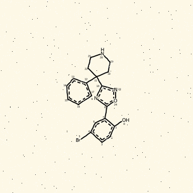 Oc1ccc(Br)cc1-c1nc(C2(c3ccccc3)CCNCC2)no1